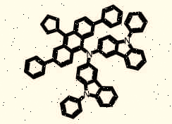 c1ccc(-c2ccc3c(N(c4ccc5c(c4)c4ccccc4n5-c4ccccc4)c4ccc5c(c4)c4ccccc4n5-c4ccccc4)c4cc(-c5ccccc5)ccc4c(C4CCCC4)c3c2)cc1